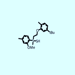 COc1cc(C)ccc1S(C)(S)CCOc1cc(C(C)(C)C)ccc1C